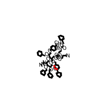 COc1ccc(OCC(OCc2ccccc2)C(O[C@@H]2O[C@H](COCc3ccccc3)[C@@H](OCc3ccccc3)[C@H](OCc3ccccc3)[C@H]2N=[N+]=[N-])C(COP(=O)(OCCC#N)OCCNC(=O)OCc2ccccc2)OCc2ccccc2)cc1